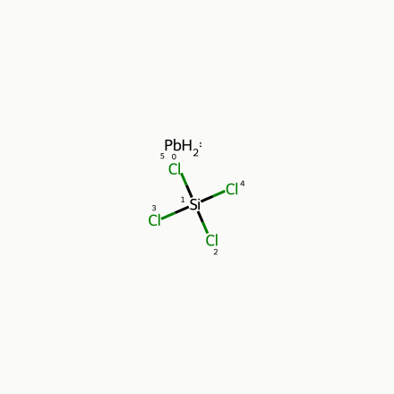 Cl[Si](Cl)(Cl)Cl.[PbH2]